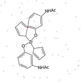 CC(=O)Nc1cccc([O][Zr]([O]c2cccc(NC(C)=O)c2)([CH]2C=CC=C2)[CH]2C=CC=C2)c1